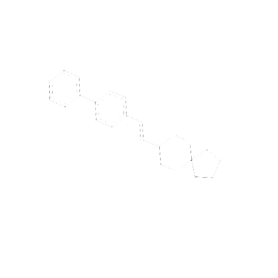 C(=CC1COC2(CCCC2)OO1)c1ccc(-c2ccccc2)cc1